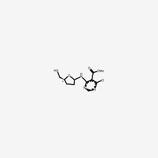 COC(=O)c1c(Cl)ncnc1NC1CC[C@@H](CO)O1